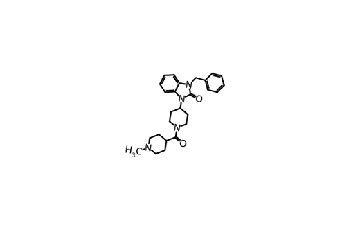 CN1CCC(C(=O)N2CCC(n3c(=O)n(Cc4ccccc4)c4ccccc43)CC2)CC1